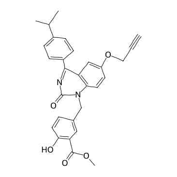 C#CCOc1ccc2c(c1)c(-c1ccc(C(C)C)cc1)nc(=O)n2Cc1ccc(O)c(C(=O)OC)c1